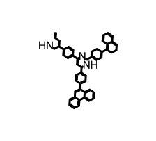 C=CCC(C=N)c1ccc(C2=CC(c3ccc(-c4cc5ccccc5c5ccccc45)cc3)NC(C3=CC=C(C4=c5ccccc5=CCC4)CC3)=N2)cc1